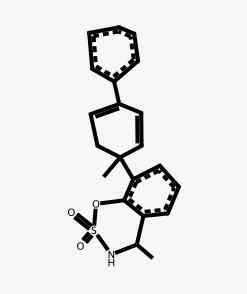 CC1NS(=O)(=O)Oc2c1cccc2C1(C)C=CC(c2ccccc2)=CC1